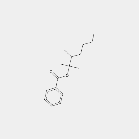 CCCCC(C)C(C)(C)OC(=O)c1ccccc1